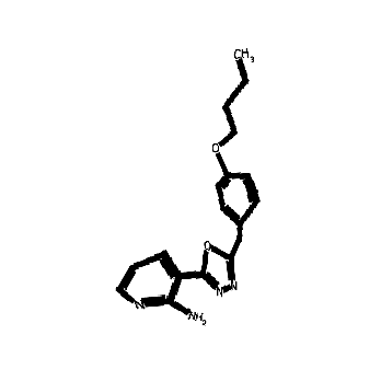 CCCCOc1ccc(Cc2nnc(-c3cccnc3N)o2)cc1